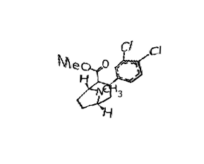 COC(=O)[C@H]1[C@@H](c2ccc(Cl)c(Cl)c2)C[C@@H]2CC[C@H]1N2C